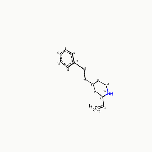 C=CC1CC(CCc2ccccc2)CCN1